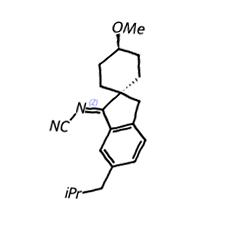 CO[C@H]1CC[C@]2(CC1)Cc1ccc(CC(C)C)cc1/C2=N\C#N